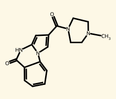 CN1CCN(C(=O)c2cc3[nH]c(=O)c4ccccc4n3c2)CC1